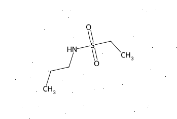 C[CH]CNS(=O)(=O)CC